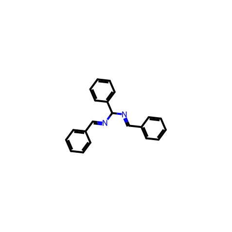 C(=NC(N=Cc1ccccc1)c1ccccc1)c1ccccc1